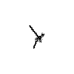 CCCCCCCCCCCCCc1cccc([N+]#N)c1S(=O)(=O)N(F)CCCCCCCC.F[B-](F)(F)F